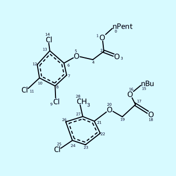 CCCCCOC(=O)COc1cc(Cl)c(Cl)cc1Cl.CCCCOC(=O)COc1ccc(Cl)cc1C